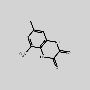 Cc1cc2[nH]c(=O)c(=O)[nH]c2c([N+](=O)[O-])n1